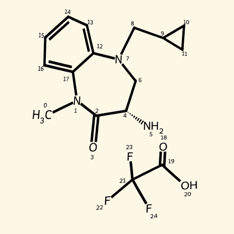 CN1C(=O)[C@@H](N)CN(CC2CC2)c2ccccc21.O=C(O)C(F)(F)F